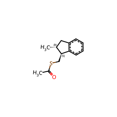 CC(=O)SC[C@@H]1c2ccccc2C[C@H]1C